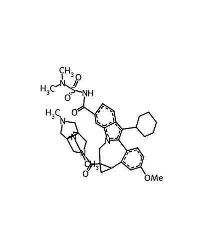 COc1ccc2c(c1)C1CC1(C(=O)N1CC34CN(C)CC3(CN(C)C4)C1)Cn1c-2c(C2CCCCC2)c2ccc(C(=O)NS(=O)(=O)N(C)C)cc21